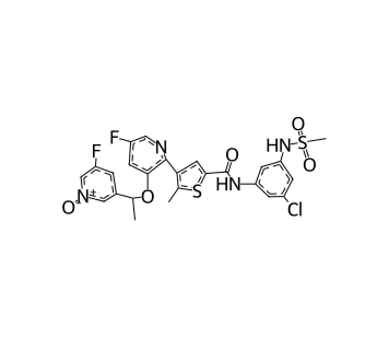 Cc1sc(C(=O)Nc2cc(Cl)cc(NS(C)(=O)=O)c2)cc1-c1ncc(F)cc1OC(C)c1cc(F)c[n+]([O-])c1